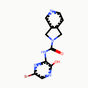 O=C(Nc1nc(Br)cnc1O)N1Cc2ccncc2C1